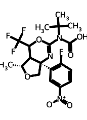 C[C@H]1OC[C@]2(c3cc([N+](=O)[O-])ccc3F)N=C(N(C(=O)O)C(C)(C)C)OC(C(F)(F)F)C12